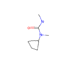 C[N]C(=O)N(C)C1CCC1